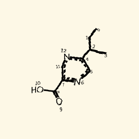 CCC(C)c1cnc(C(=O)O)cn1